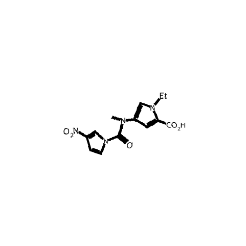 CCn1cc(N(C)C(=O)n2ccc([N+](=O)[O-])c2)cc1C(=O)O